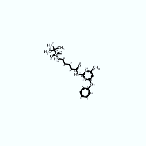 Cc1cc(Oc2ccccc2)nc(NC(=O)CCCCNS(=O)(=O)C(C)(C)C)n1